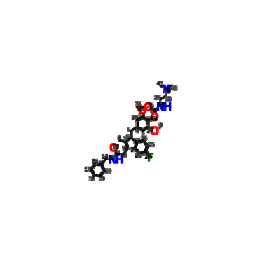 COc1cc(/C=C2/C(C)=C(CC(=O)NCc3ccccc3)c3cc(F)ccc32)cc(OC)c1OC(=O)NCCN(C)C